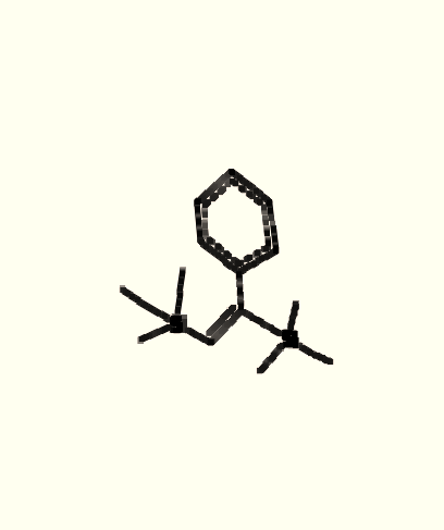 C[Si](C)(C)C=C(c1ccccc1)[Si](C)(C)C